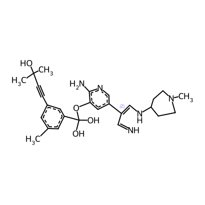 Cc1cc(C#CC(C)(C)O)cc(C(O)(O)Oc2cc(/C(C=N)=C/NC3CCN(C)CC3)cnc2N)c1